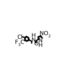 CC(NC(=O)c1cc([N+](=O)[O-])c[nH]1)c1ccc(Cl)c(C(F)(F)F)c1